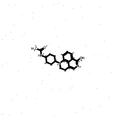 CC(=O)NC1CCC(N2CCc3cnc(O)c4cccc2c34)CC1